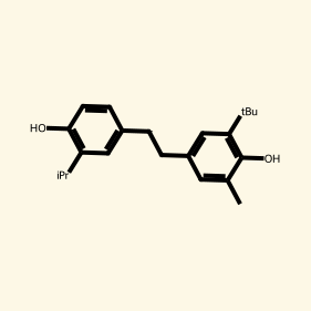 Cc1cc(C[CH]c2ccc(O)c(C(C)C)c2)cc(C(C)(C)C)c1O